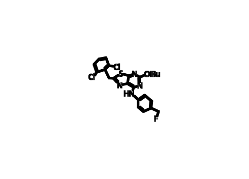 CC(C)COc1nc(Nc2ccc(CF)cc2)c2nc(Cc3c(Cl)cccc3Cl)sc2n1